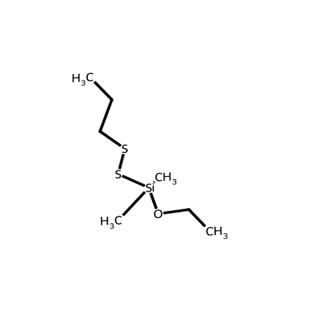 CCCSS[Si](C)(C)OCC